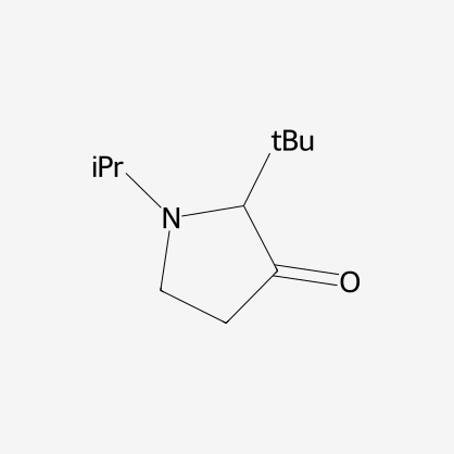 CC(C)N1CCC(=O)C1C(C)(C)C